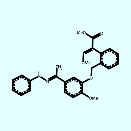 CO/C=C(/C(=O)OC)c1ccccc1COc1cc(/C(C)=N/Nc2ccccc2)ccc1OC